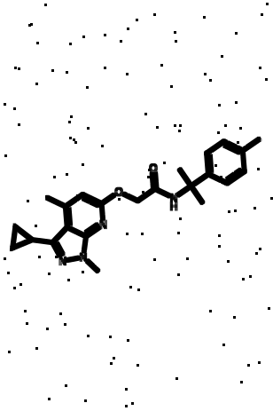 Cc1ccc(C(C)(C)NC(=O)COc2cc(C)c3c(C4CC4)nn(C)c3n2)cc1